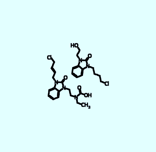 CCN(CCn1c(=O)n(CC=CCCl)c2ccccc21)C(=O)O.O=c1n(CCO)c2ccccc2n1CCCCCl